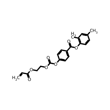 C=CC(=O)OCCOC(=O)Oc1ccc(C(=O)Oc2ccc(C)cc2C)cc1